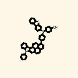 N#Cc1ccc(N(c2ccc(-c3ccc4ccc5cc6c(c7ccc3c4c57)c3ccccc3n6-c3ccccc3)cc2)c2ccc3c(c2)sc2ccccc23)cc1